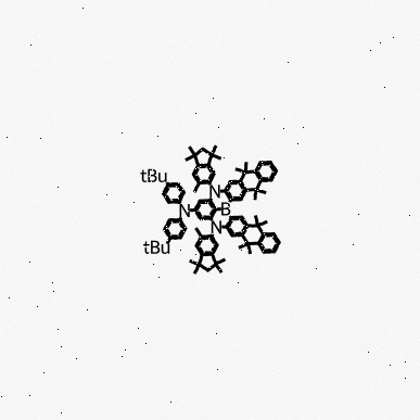 Cc1cc2c(cc1N1c3cc4c(cc3B3c5cc6c(cc5N(c5cc7c(cc5C)C(C)(C)CC7(C)C)c5cc(N(c7ccc(C(C)(C)C)cc7)c7ccc(C(C)(C)C)cc7)cc1c53)C(C)(C)c1ccccc1C6(C)C)C(C)(C)c1ccccc1C4(C)C)C(C)(C)CC2(C)C